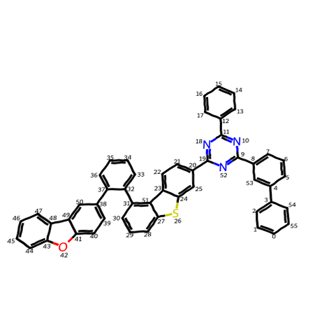 c1ccc(-c2cccc(-c3nc(-c4ccccc4)nc(-c4ccc5c(c4)sc4cccc(-c6ccccc6-c6ccc7oc8ccccc8c7c6)c45)n3)c2)cc1